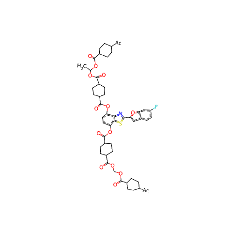 CC(=O)C1CCC(C(=O)OCOC(=O)C2CCC(C(=O)Oc3ccc(OC(=O)C4CCC(C(=O)OC(C)OC(=O)C5CCC(C(C)=O)CC5)CC4)c4nc(-c5cc6ccc(F)cc6o5)sc34)CC2)CC1